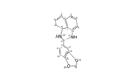 C1=Cc2cccc3c2C(C1)NC(c1ccc2c(c1)OCO2)N3